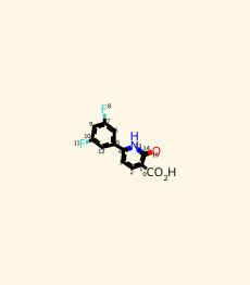 O=C(O)c1ccc(-c2cc(F)cc(F)c2)[nH]c1=O